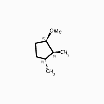 CO[C@@H]1CC[C@@H](C)[C@@H]1C